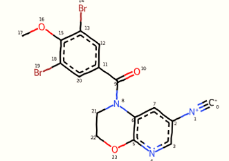 [C-]#[N+]c1cnc2c(c1)N(C(=O)c1cc(Br)c(OC)c(Br)c1)CCO2